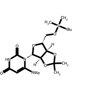 CNc1cc(=O)[nH]c(=O)n1[C@@H]1O[C@H](CO[Si](C)(C)C(C)(C)C)[C@H]2OC(C)(C)O[C@H]21